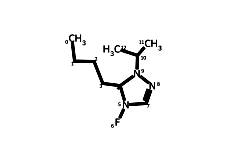 CCCCC1N(F)C=NN1C(C)C